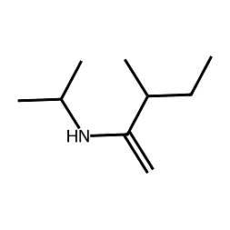 C=C(NC(C)C)C(C)CC